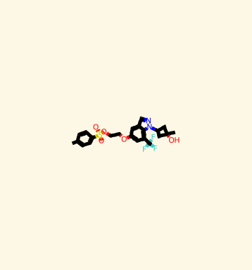 Cc1ccc(S(=O)(=O)OCCOc2cc(C(F)(F)F)c3c(cnn3C3CC(C)(O)C3)c2)cc1